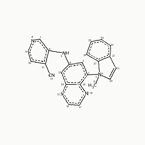 C[N+]1(c2cc(Nc3cnccc3C#N)cc3nccnc23)C=Cc2ccccc21